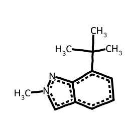 Cn1cc2cccc(C(C)(C)C)c2n1